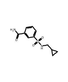 NC(=O)c1cccc(S(=O)(=O)NCC2CC2)c1